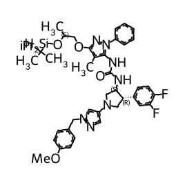 COc1ccc(Cn2cc(N3C[C@@H](NC(=O)Nc4c(C)c(OC[C@H](C)O[SiH2]C(C)(C)C(C)C)nn4-c4ccccc4)[C@H](c4ccc(F)c(F)c4)C3)cn2)cc1